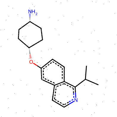 CC(C)c1nccc2cc(O[C@H]3CC[C@@H](N)CC3)ccc12